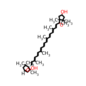 CC(/C=C/C=C(C)/C=C/C(=O)[C@]1(C)C[C@@H](O)CC1(C)C)=C\C=C\C=C(C)\C=C\C=C(C)\C=C\[C@]12O[C@@H](CC1(C)C)C[C@@]2(C)O